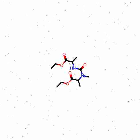 CCOC(=O)C(C)NC(=O)N(C)C(C)C(=O)OCC